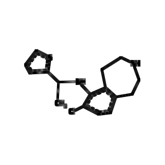 CC(Nc1c(Cl)ccc2c1CCNCC2)c1cccs1